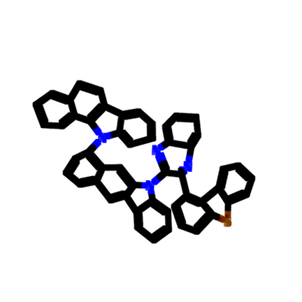 c1cc(-n2c3ccccc3c3ccc4ccccc4c32)c2cc3c(cc2c1)c1ccccc1n3-c1nc2ccccc2nc1-c1cccc2sc3ccccc3c12